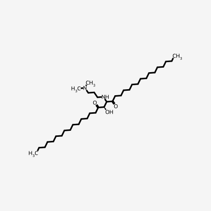 CCCCCCCCCCCCCCCC(=O)C(NCCCN(C)C)[C@@H](O)C(=O)CCCCCCCCCCCCCCC